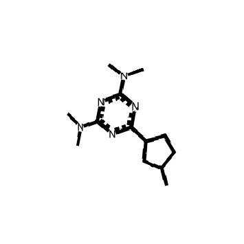 CC1CCC(c2nc(N(C)C)nc(N(C)C)n2)C1